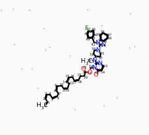 CC/C=C\C/C=C\C/C=C\C/C=C\C/C=C\C/C=C\CCC(=O)OCn1c(N(C)C2CCN(c3nc4ccccc4n3Cc3ccc(F)cc3)CC2)nccc1=O